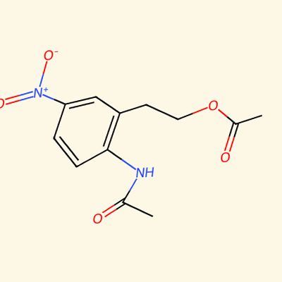 CC(=O)Nc1ccc([N+](=O)[O-])cc1CCOC(C)=O